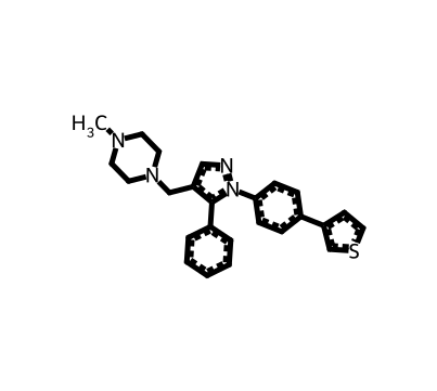 CN1CCN(Cc2cnn(-c3ccc(-c4ccsc4)cc3)c2-c2ccccc2)CC1